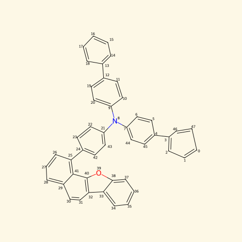 c1ccc(-c2ccc(N(c3ccc(-c4ccccc4)cc3)c3ccc(-c4cccc5ccc6c7ccccc7oc6c45)cc3)cc2)cc1